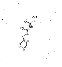 O=C(NC(S)CS)OCc1ccccc1